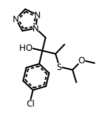 COC(C)SC(C)C(O)(Cn1cncn1)c1ccc(Cl)cc1